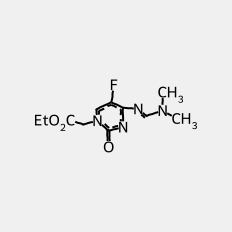 CCOC(=O)Cn1cc(F)c(/N=C/N(C)C)nc1=O